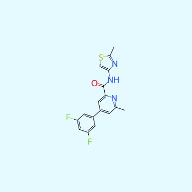 Cc1cc(-c2cc(F)cc(F)c2)cc(C(=O)Nc2csc(C)n2)n1